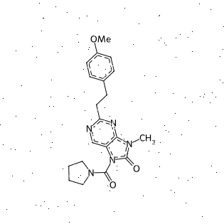 COc1ccc(CCc2ncc3c(n2)n(C)c(=O)n3C(=O)N2CCCC2)cc1